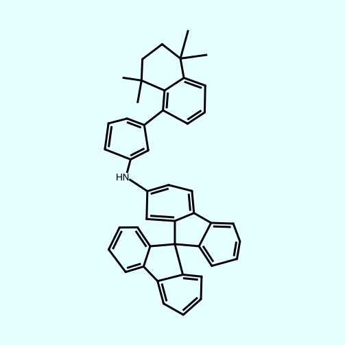 CC1(C)CCC(C)(C)c2c(-c3cccc(Nc4ccc5c(c4)C4(c6ccccc6-c6ccccc64)c4ccccc4-5)c3)cccc21